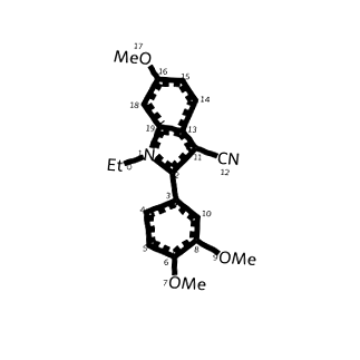 CCn1c(-c2ccc(OC)c(OC)c2)c(C#N)c2ccc(OC)cc21